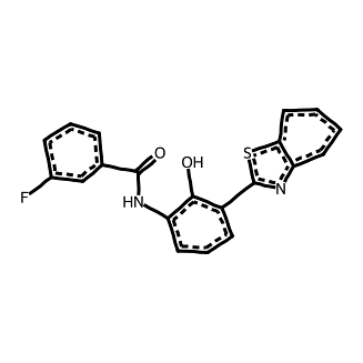 O=C(Nc1cccc(-c2nc3ccccc3s2)c1O)c1cccc(F)c1